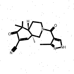 Cc1n[nH]cc1C(=O)N1CC[C@H]2C(C)(C)C(=O)C(C#N)=C[C@]2(C)C1